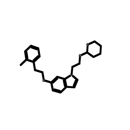 Cc1ccccc1CCOc1ccc2ccn(CCOC3CCCCO3)c2c1